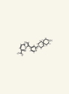 FC(F)c1ccc2ncc(-c3ccnc(N4CCC5(CCNCC5)CC4)c3)n2n1